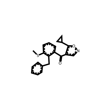 CSc1cccc(C(=O)c2cnoc2C2CC2)c1Cc1ccccc1